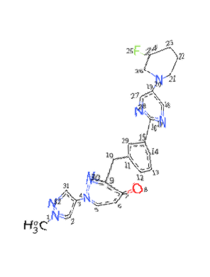 Cn1cc(-n2ccc(=O)c(Cc3cccc(-c4ncc(N5CCCC(F)C5)cn4)c3)n2)cn1